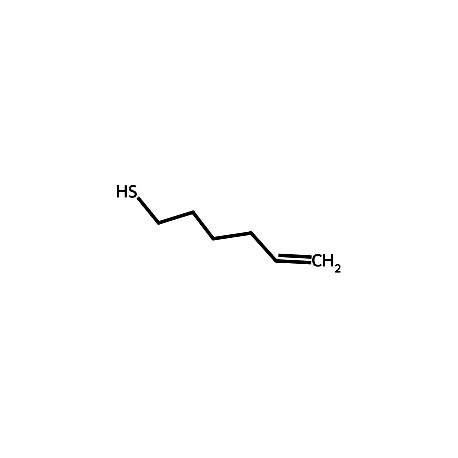 C=CCCCCS